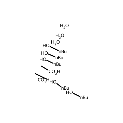 CC(=O)O.CC(=O)O.CCCCO.CCCCO.CCCCO.CCCCO.CCCCO.O.O.O